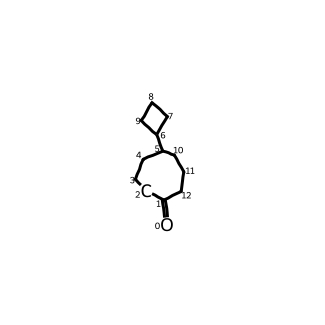 O=C1CCCC(C2CCC2)CCC1